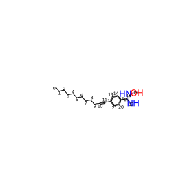 CCCCCCCCCCC#Cc1ccc(C(=N)NO)cc1